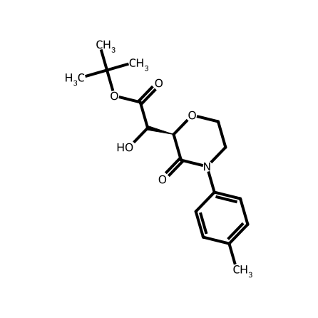 Cc1ccc(N2CCO[C@H](C(O)C(=O)OC(C)(C)C)C2=O)cc1